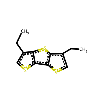 CCc1csc2c1sc1c(CC)csc12